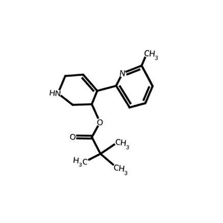 Cc1cccc(C2=CCNCC2OC(=O)C(C)(C)C)n1